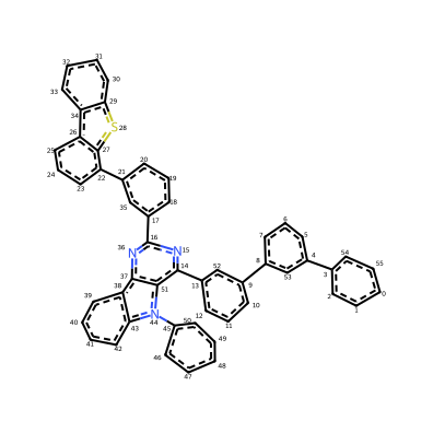 c1ccc(-c2cccc(-c3cccc(-c4nc(-c5cccc(-c6cccc7c6sc6ccccc67)c5)nc5c6ccccc6n(-c6ccccc6)c45)c3)c2)cc1